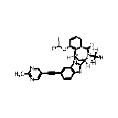 [2H]C([2H])([2H])N1C(=O)c2cccc(OC(F)F)c2[C@H]2C[C@@H]1c1nc3ccc(C#Cc4cnc(C)nc4)cc3n12